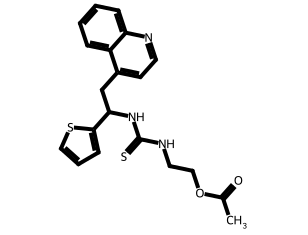 CC(=O)OCCNC(=S)NC(Cc1ccnc2ccccc12)c1cccs1